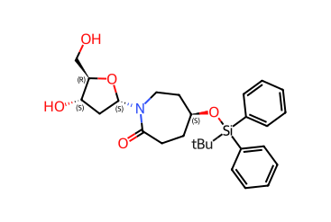 CC(C)(C)[Si](O[C@H]1CCC(=O)N([C@@H]2C[C@H](O)[C@@H](CO)O2)CC1)(c1ccccc1)c1ccccc1